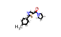 Cc1ccc(-c2ncc(C(=O)N3CCCC3)s2)cc1